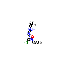 COCCn1c(=O)n(C2CCN(Cc3nc(-c4ccc(C(F)(F)F)cc4)[nH]c3C)CC2)c2ccc(Cl)cc21